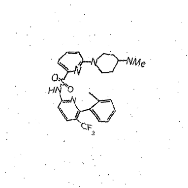 CNC1CCN(c2cccc(S(=O)(=O)Nc3ccc(C(F)(F)F)c(-c4ccccc4C)n3)n2)CC1